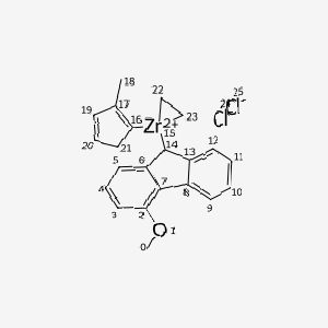 COc1cccc2c1-c1ccccc1[CH]2[Zr+2]1([C]2=C(C)C=CC2)[CH2][CH2]1.[Cl-].[Cl-]